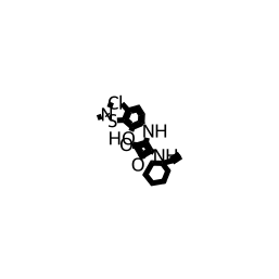 C#CC1(Nc2c(Nc3ccc(Cl)c(SN(C)C)c3O)c(=O)c2=O)CCCCC1